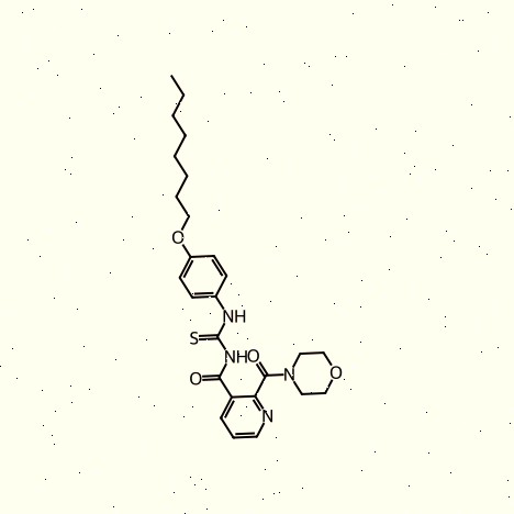 CCCCCCCCOc1ccc(NC(=S)NC(=O)c2cccnc2C(=O)N2CCOCC2)cc1